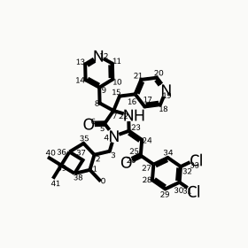 CC1C(CN2C(=O)C(Cc3ccncc3)(Cc3ccncc3)N/C2=C/C(=O)c2ccc(Cl)c(Cl)c2)CC2CC1C2(C)C